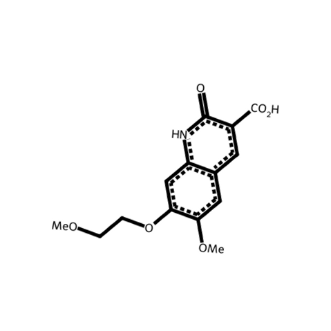 COCCOc1cc2[nH]c(=O)c(C(=O)O)cc2cc1OC